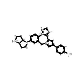 N#Cc1ccc(-c2cc3n(c2)Cc2cc(N4CCC5NCCC54)ccc2-n2ncnc2-3)cc1